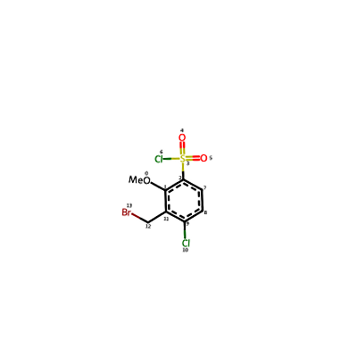 COc1c(S(=O)(=O)Cl)ccc(Cl)c1CBr